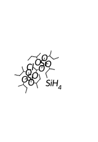 CCC(C)O[Si](OC(C)CC)(OC(C)CC)OC(Cl)O[Si](OC(C)CC)(OC(C)CC)OC(C)CC.[SiH4]